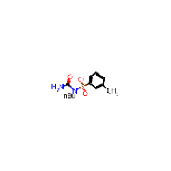 CCCCN(C(N)=O)S(=O)(=O)c1cccc(C)c1